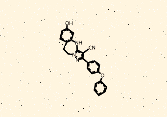 N#Cc1c(-c2ccc(Oc3ccccc3)cc2)nn2c1Nc1cc(O)ccc1CC2